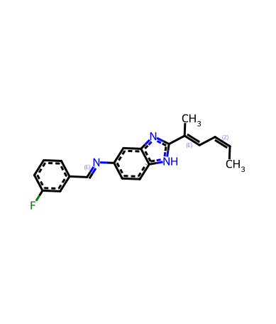 C/C=C\C=C(/C)c1nc2cc(/N=C/c3cccc(F)c3)ccc2[nH]1